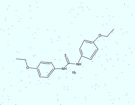 CCOc1ccc(NC(=S)Nc2ccc(OCC)cc2)cc1.[Yb]